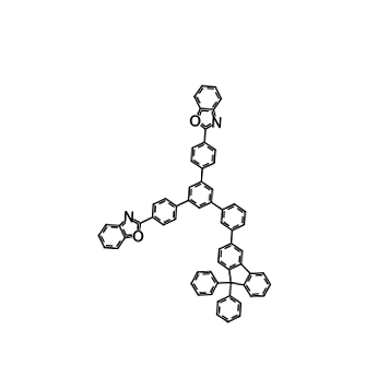 c1ccc(C2(c3ccccc3)c3ccccc3-c3cc(-c4cccc(-c5cc(-c6ccc(-c7nc8ccccc8o7)cc6)cc(-c6ccc(-c7nc8ccccc8o7)cc6)c5)c4)ccc32)cc1